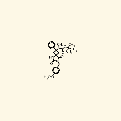 COc1ccc(CN2C(=O)NC3(CC(c4ccccc4)(N(C)C(=O)OC(C)(C)C)C3)C2=O)cc1